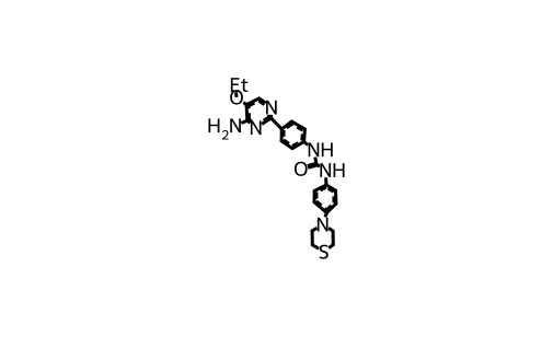 CCOc1cnc(-c2ccc(NC(=O)Nc3ccc(N4CCSCC4)cc3)cc2)nc1N